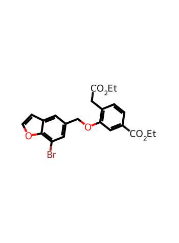 CCOC(=O)Cc1ccc(C(=O)OCC)cc1OCc1cc(Br)c2occc2c1